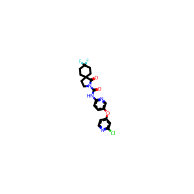 O=C(Nc1ccc(Oc2ccnc(Cl)c2)cn1)N1CCC2(CCC(F)(F)CC2)C1=O